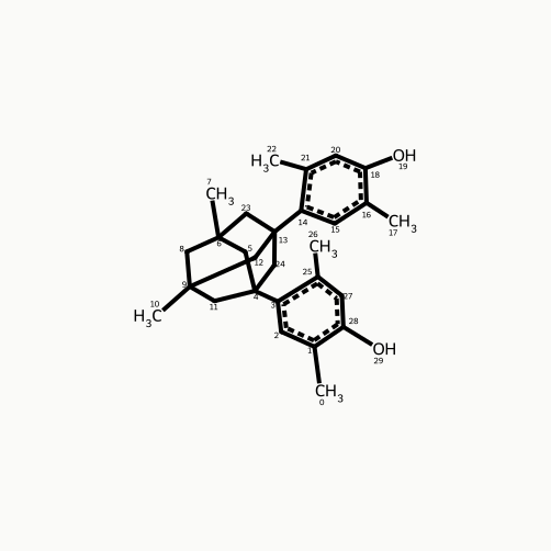 Cc1cc(C23CC4(C)CC(C)(C2)CC(c2cc(C)c(O)cc2C)(C4)C3)c(C)cc1O